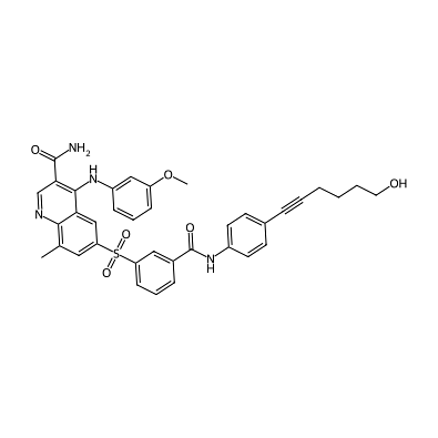 COc1cccc(Nc2c(C(N)=O)cnc3c(C)cc(S(=O)(=O)c4cccc(C(=O)Nc5ccc(C#CCCCCO)cc5)c4)cc23)c1